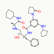 C[C@H](NC[C@@H](O)[C@H](Cc1ccccc1)NC(=O)c1cc(NC2CCCC2)cc(N2CCCC2=O)c1)C(=O)NC1CCCCC1